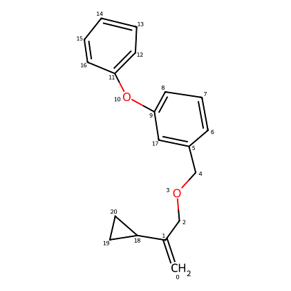 C=C(COCc1cccc(Oc2ccccc2)c1)C1CC1